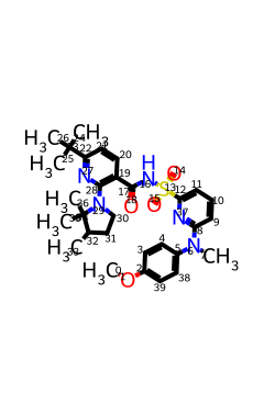 COc1ccc(N(C)c2cccc(S(=O)(=O)NC(=O)c3ccc(C(C)(C)C)nc3N3CCC(C)C3(C)C)n2)cc1